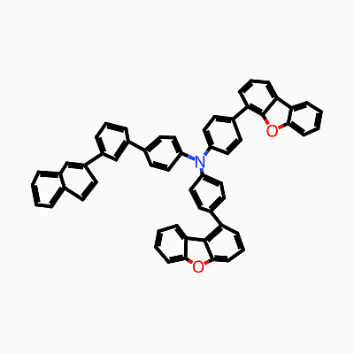 c1cc(-c2ccc(N(c3ccc(-c4cccc5c4oc4ccccc45)cc3)c3ccc(-c4cccc5oc6ccccc6c45)cc3)cc2)cc(-c2ccc3ccccc3c2)c1